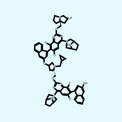 Oc1cc(-c2c(Cl)cc3c(N4CC5CCC(C4)N5)nc(OC[C@@H]4CC(Oc5cc(-c6c(Cl)cc7c(N8CC9CCC(C8)N9)nc(OC[C@@]89CCCN8C[C@H](F)C9)nc7c6F)c6ccccc6c5)CN4CC4CC4)nc3c2F)c2ccccc2c1